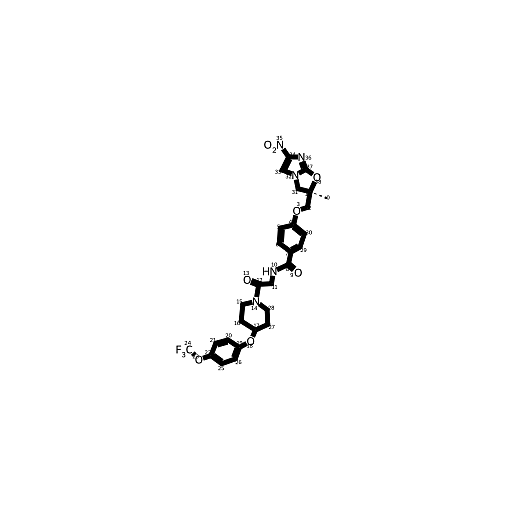 C[C@]1(COc2ccc(C(=O)NCC(=O)N3CCC(Oc4ccc(OC(F)(F)F)cc4)CC3)cc2)Cn2cc([N+](=O)[O-])nc2O1